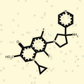 NC1(c2ccncc2)CCN(c2c(F)cc3c(=O)c(C(=O)O)cn(C4CC4)c3c2F)C1